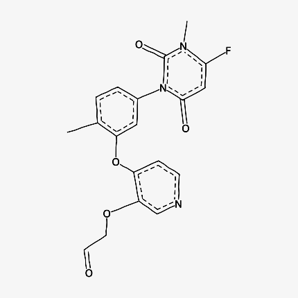 Cc1ccc(-n2c(=O)cc(F)n(C)c2=O)cc1Oc1ccncc1OCC=O